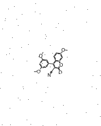 COc1cc(OC)cc(-c2c(C#N)c(=O)oc3cc(OC)ccc23)c1